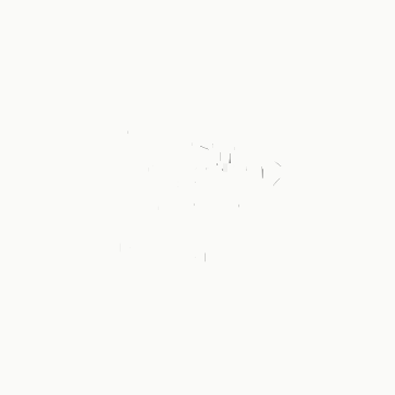 CCCCOCC1OC(SC[C@H](NC(=O)OCc2ccccc2)C(=O)O)C(OCCCC)C(OCCCC)C1OCCCC